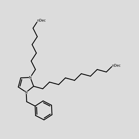 CCCCCCCCCCCCCCCCCCCC1N(CCCCCCCCCCCCCCCC)C=CN1Cc1ccccc1